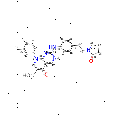 Cc1ccc(-n2cc(C(=O)O)c(=O)c3cnc(Nc4ccc(CCN5CCCC5=O)cc4)nc32)cc1C